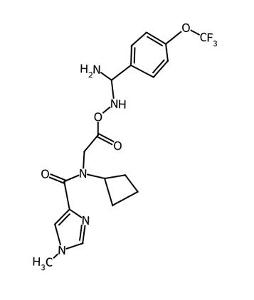 Cn1cnc(C(=O)N(CC(=O)ONC(N)c2ccc(OC(F)(F)F)cc2)C2CCC2)c1